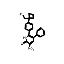 C[C](C)CC1(c2ccc(-c3[nH]c(=O)c([N+](=O)[O-])cc3-c3ccccc3)cc2)CCC1